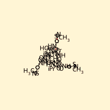 Cc1cnc([C@H](C(=O)N2C[C@H](OCc3cnc([C@H](C(=O)N4C[C@H](OCc5cc([C@H](C(=O)N6C[C@H](O)C[C@H]6C(=O)NCc6ccc(-c7scnc7C)cc6)C(C)C)n[nH]5)C[C@H]4C(=O)NCc4ccc(-c5scnc5C)cc4)C(C)C)[nH]3)C[C@H]2C(=O)NCc2ccc(-c3scnc3C)cc2)C(C)C)o1